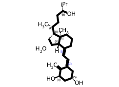 C=C1/C(=C\C=C2/CCC[C@]3(C)[C@@H]([C@H](C)CC[C@@H](O)C(C)C)CC[C@@H]23)C[C@H](O)C[C@H]1O.O